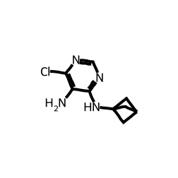 Nc1c(Cl)ncnc1NC12CC(C1)C2